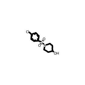 O=S(=O)(c1ccc(Cl)cc1)N1CCC(O)CC1